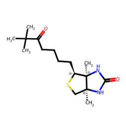 CC(C)(C)C(=O)CCCC[C@@H]1SC[C@]2(C)NC(=O)N[C@]12C